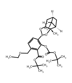 CCOCc1ccc(B2OC3C[C@H]4C[C@H](C4(C)C)[C@]3(C)O2)c(OC(=O)OC(C)(C)C)c1C(=O)OC(C)(C)C